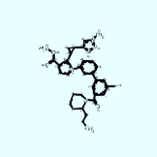 CCCC1CCCCN1C(=O)c1cc(F)cc(-c2cccc(-n3ccc(C(=O)OC)c3C3CC3c3cn(C)nn3)c2)c1